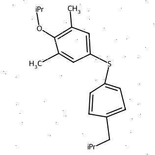 Cc1cc(Sc2ccc(CC(C)C)cc2)cc(C)c1OC(C)C